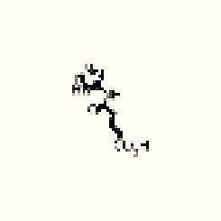 O=C(O)CCCC(=O)Nc1nnn[nH]1